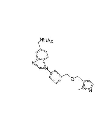 CC(=O)NCc1ccc2c(c1)ncn2-c1cccc(COCc2ccnn2C)c1